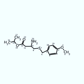 COc1ccc(CSCC(N)CC(=O)OC(C)C)cc1